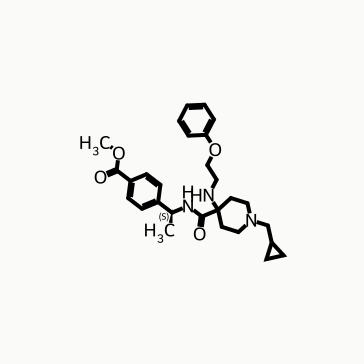 COC(=O)c1ccc([C@H](C)NC(=O)C2(NCCOc3ccccc3)CCN(CC3CC3)CC2)cc1